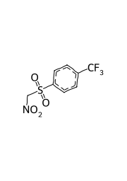 O=[N+]([O-])CS(=O)(=O)c1ccc(C(F)(F)F)cc1